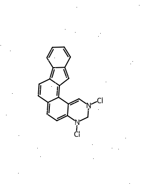 ClN1C=c2c(ccc3ccc4c(c23)C=c2ccccc2=4)N(Cl)C1